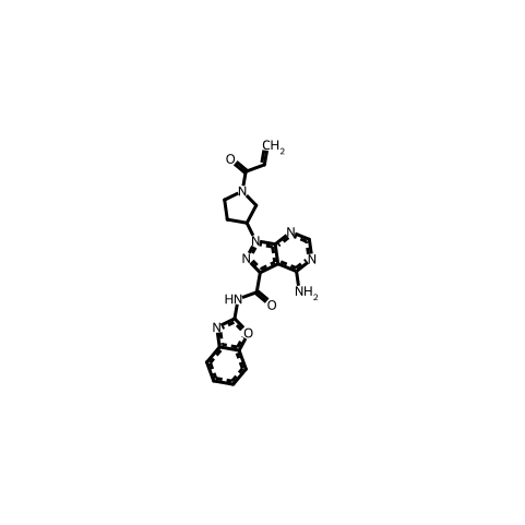 C=CC(=O)N1CCC(n2nc(C(=O)Nc3nc4ccccc4o3)c3c(N)ncnc32)C1